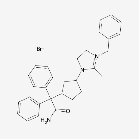 CC1=[N+](Cc2ccccc2)CCN1C1CCC(C(C(N)=O)(c2ccccc2)c2ccccc2)C1.[Br-]